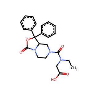 CCN(CC(=O)O)C(=O)N1CCN2C(=O)OC(c3ccccc3)(c3ccccc3)C2C1